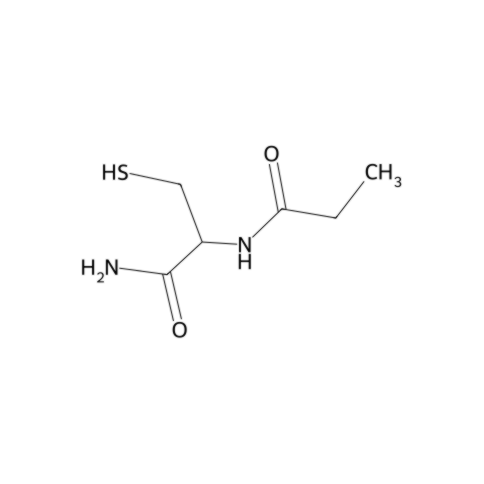 CCC(=O)NC(CS)C(N)=O